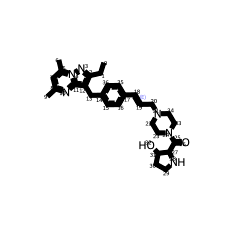 CCc1nn2c(C)cc(C)nc2c1Cc1ccc(/C=C/CN2CCN(C(=O)C3NCCC3O)CC2)cc1